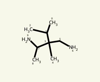 CC(C)C(C)(CN)C(C)N